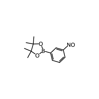 CC1(C)OB(c2cccc(N=O)c2)OC1(C)C